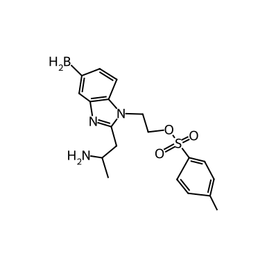 Bc1ccc2c(c1)nc(CC(C)N)n2CCOS(=O)(=O)c1ccc(C)cc1